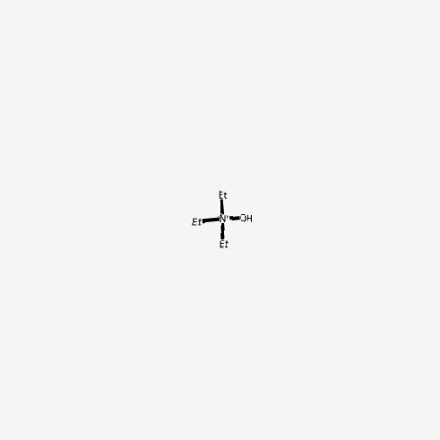 CC[N+](O)(CC)CC